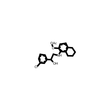 CC(=O)OOc1ccc2c(c1NCC(O)c1cccc(Cl)c1)CCCC2